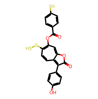 O=C(Oc1cc2oc(=O)c(-c3ccc(O)cc3)c-2ccc1SS)c1ccc(S)cc1